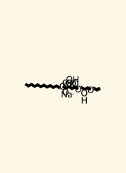 C=CCOCC(O)COC(=O)CC(C(=O)OCCCCCCCCCCCC)S(=O)(=O)O.[Na]